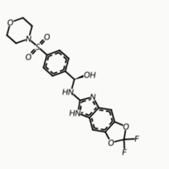 O=S(=O)(c1ccc([C@@H](O)Nc2nc3cc4c(cc3[nH]2)OC(F)(F)O4)cc1)N1CCOCC1